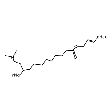 CCCCCCC=CCOC(=O)CCCCCCCCC(CCCCCCCCC)CCN(C)C